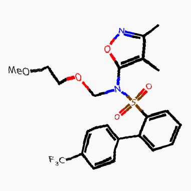 COCCOCN(c1onc(C)c1C)S(=O)(=O)c1ccccc1-c1ccc(C(F)(F)F)cc1